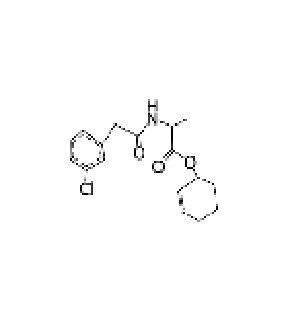 CC(NC(=O)Cc1cccc(Cl)c1)C(=O)OC1C=CCCC1